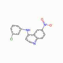 O=[N+]([O-])c1ccc2nccc(Nc3cccc(Cl)c3)c2c1